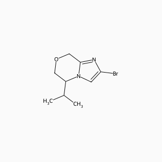 CC(C)C1COCc2nc(Br)cn21